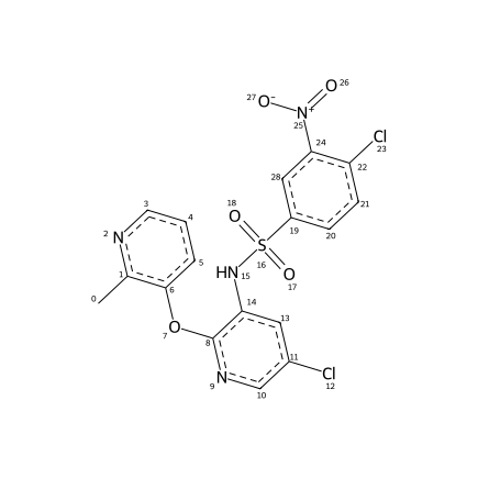 Cc1ncccc1Oc1ncc(Cl)cc1NS(=O)(=O)c1ccc(Cl)c([N+](=O)[O-])c1